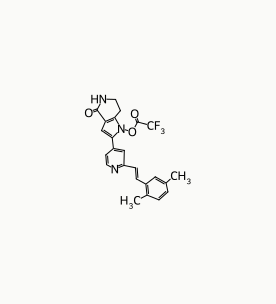 Cc1ccc(C)c(C=Cc2cc(-c3cc4c(n3OC(=O)C(F)(F)F)CCNC4=O)ccn2)c1